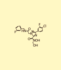 O=C(Cn1nc(-c2ccc(Cl)c(F)c2)nc1C(=O)N(O)CO)NCc1cccc(F)c1